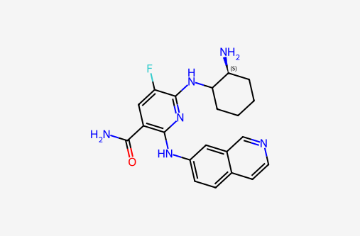 NC(=O)c1cc(F)c(NC2CCCC[C@@H]2N)nc1Nc1ccc2ccncc2c1